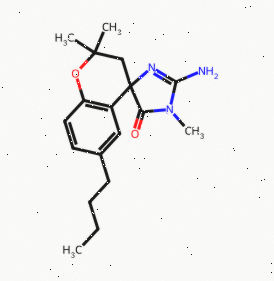 CCCCc1ccc2c(c1)C1(CC(C)(C)O2)N=C(N)N(C)C1=O